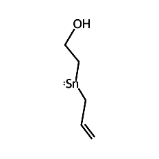 C=C[CH2][Sn][CH2]CO